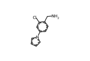 NCc1ccc(-n2cccc2)cc1Cl